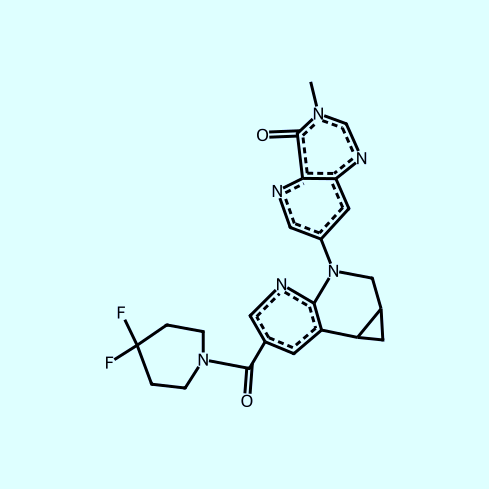 Cn1cnc2cc(N3CC4CC4c4cc(C(=O)N5CCC(F)(F)CC5)cnc43)cnc2c1=O